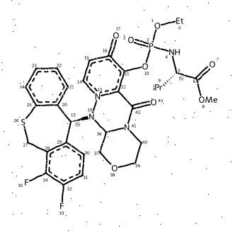 CCOP(=O)(N[C@H](C(=O)OC)C(C)C)Oc1c2n(ccc1=O)N([C@@H]1c3ccccc3SCc3c1ccc(F)c3F)C1COCCN1C2=O